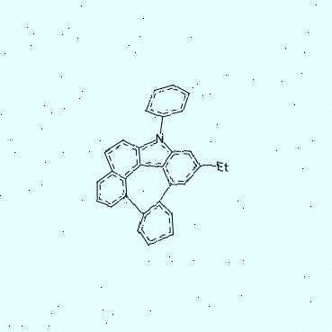 CCc1cc2c3c4c5c(cccc5ccc4n(-c4ccccc4)c3c1)-c1ccccc1-2